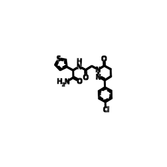 NC(=O)C(NC(=O)CN1N=C(c2ccc(Cl)cc2)CCC1=O)c1ccsc1